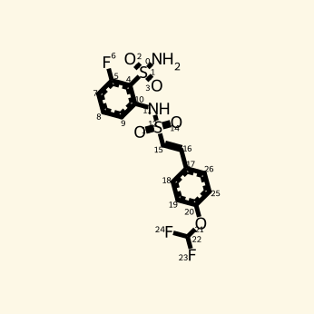 NS(=O)(=O)c1c(F)cccc1NS(=O)(=O)/C=C/c1ccc(OC(F)F)cc1